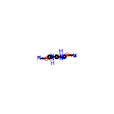 CN(C)C/C=C/COc1ccc2nc(-c3ccc(-c4nc5ccc(OC/C=C/CN(C)C)cc5[nH]4)cc3)[nH]c2c1